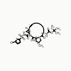 C[C@@H]1C[C@H]2C(=O)N[C@]3(C(=O)NS(=O)(=O)c4ccc(Cl)s4)C[C@H]3/C=C\CCCCC[C@H](NC(=O)OC(C)(C)C)C(=O)N2C1